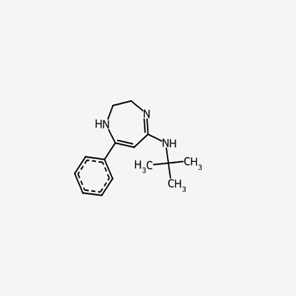 CC(C)(C)NC1=NCCNC(c2ccccc2)=C1